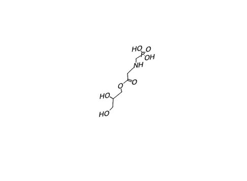 O=C(CNCP(=O)(O)O)OCC(O)CO